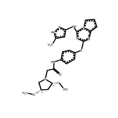 CO[C@H]1C[C@@H](CO)N(CC(=O)Nc2ccc(Sc3nc(Nc4cc(C)[nH]n4)n4cccc4n3)cc2)C1